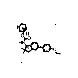 CCOc1ccc(-c2ccc3c(c2)CC(C)(C)[C@H]3NC(=O)O[C@H]2CN3CCC2CC3)cc1